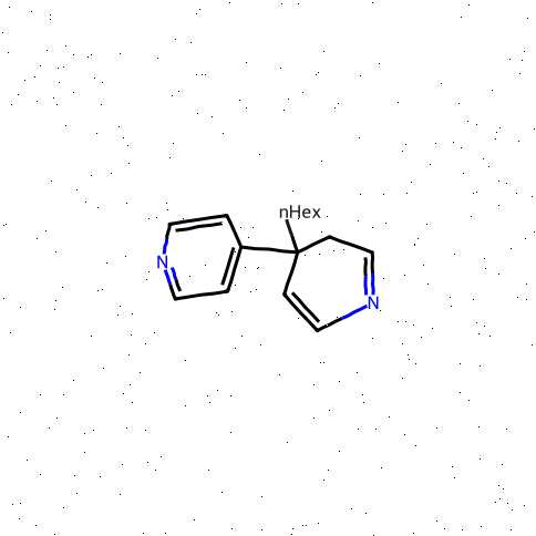 CCCCCCC1(c2ccncc2)C=CN=CC1